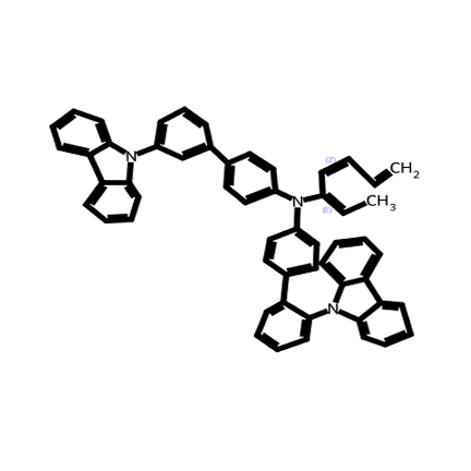 C=C/C=C\C(=C/C)N(c1ccc(-c2cccc(-n3c4ccccc4c4ccccc43)c2)cc1)c1ccc(-c2ccccc2-n2c3ccccc3c3ccccc32)cc1